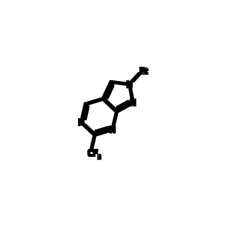 CCn1cc2cnc(C(F)(F)F)nc2n1